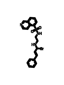 O=S(=O)(NCCNC(Br)C=Cc1ccccc1)c1cccc2cnccc12